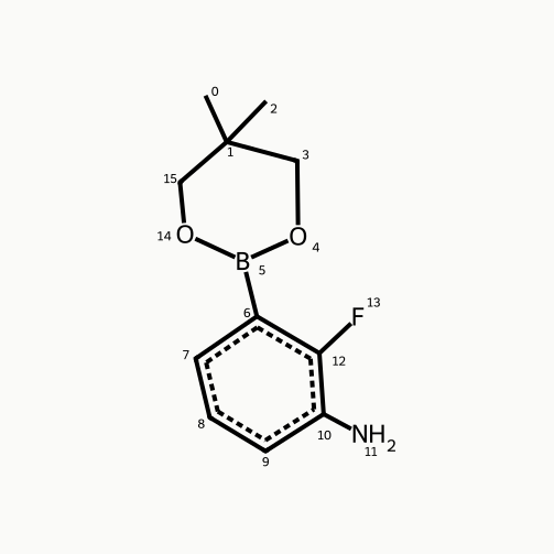 CC1(C)COB(c2cccc(N)c2F)OC1